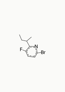 CCC(C)c1nc(Br)ccc1F